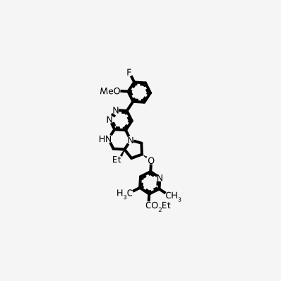 CCOC(=O)c1c(C)cc(O[C@H]2CN3c4cc(-c5cccc(F)c5OC)nnc4NC[C@@]3(CC)C2)nc1C